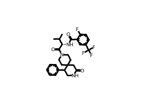 CC(C)[C@H](NC(=O)c1cc(C(F)(F)F)ccc1F)C(=O)N1CCC2(CC1)CC(=O)NCC2c1ccccc1